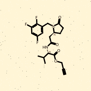 C#CCOC(=O)[C@@H](NC(=O)C[C@@H]1CCC(=O)N1Cc1cc(F)cc(F)c1F)C(C)C